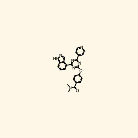 CN(C)C(=O)c1ccc(Oc2nc(-c3ccncc3)nc(-c3cccc4[nH]ncc34)n2)cc1